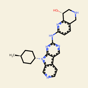 C[C@H]1CC[C@H](n2c3cnccc3c3cnc(Nc4ccc5c(n4)[C@H](O)CNC5)nc32)CC1